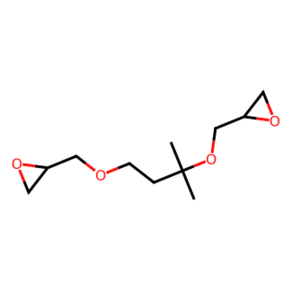 CC(C)(CCOCC1CO1)OCC1CO1